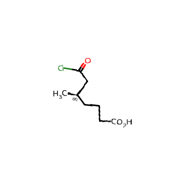 C[C@H](CCCC(=O)O)CC(=O)Cl